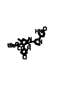 Cc1cc2nc(-c3ccnc(-c4ccc(=O)[nH]c4)c3)sc2c(-c2ccc(Cl)cc2)c1[C@H](OC(C)(C)C)C(=O)O